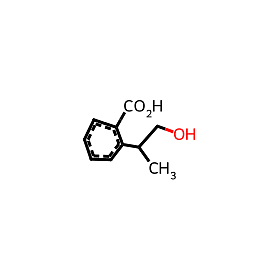 CC(CO)c1ccccc1C(=O)O